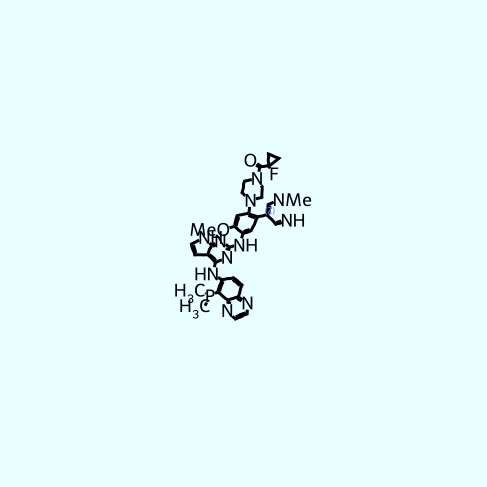 CN/C=C(\C=N)c1cc(Nc2nc(Nc3ccc4nccnc4c3P(C)C)c3cc[nH]c3n2)c(OC)cc1N1CCN(C(=O)C2(F)CC2)CC1